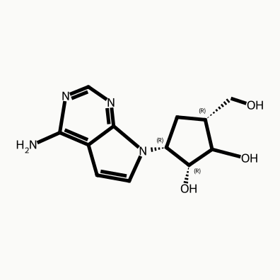 Nc1ncnc2c1ccn2[C@@H]1C[C@H](CO)C(O)[C@@H]1O